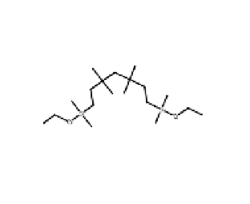 CCO[Si](C)(C)CCC(C)(C)CC(C)(C)CC[Si](C)(C)OCC